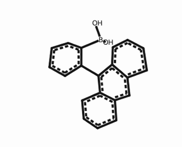 OB(O)c1ccccc1-c1c2ccccc2cc2ccccc12